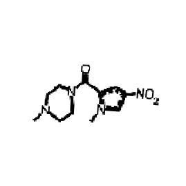 CN1CCN(C(=O)c2cc([N+](=O)[O-])cn2C)CC1